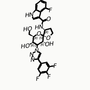 O=C(N[C@@H]1CCO[C@]12O[C@H](CO)[C@H](O)[C@H](n1cc(-c3cc(F)c(F)c(F)c3)nn1)[C@H]2O)c1c[nH]c2cccc(F)c12